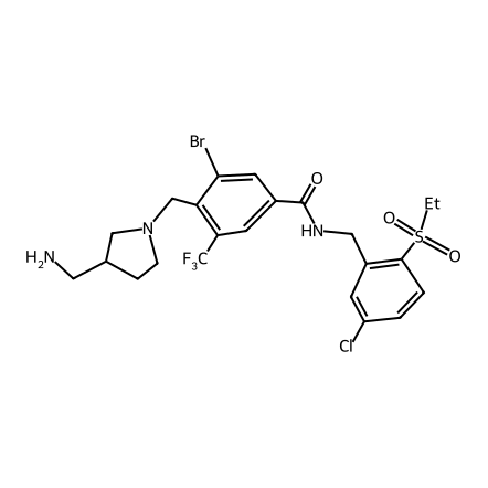 CCS(=O)(=O)c1ccc(Cl)cc1CNC(=O)c1cc(Br)c(CN2CCC(CN)C2)c(C(F)(F)F)c1